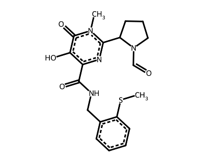 CSc1ccccc1CNC(=O)c1nc(C2CCCN2C=O)n(C)c(=O)c1O